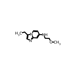 CCc1cnc2cc(NCCOC)ccn12